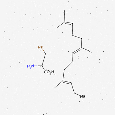 CC(C)=CCCC(C)=CCCC(C)=C[CH2][Na].NC(CS)C(=O)O